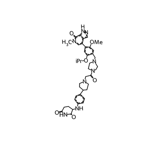 COc1cc(CN2CCN(C(=O)CN3CCC(c4ccc(NC5CCC(=O)NC5=O)cc4)CC3)CC2)c(OC(C)C)cc1-c1cn(C)c(=O)c2[nH]ncc12